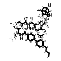 CCCCc1ccc(-c2ccc(C(=O)N[C@@H](CN)C(=O)NC(CN)C(=O)N[C@@H](C)C(=O)N[C@@H](CC(C)C)C(=O)N[C@@H](C)B3O[C@@H]4C[C@@H]5C[C@@H](C5(C)C)[C@]4(C)O3)cc2)cc1